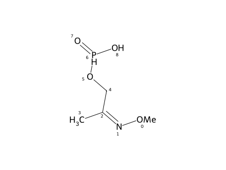 CON=C(C)CO[PH](=O)O